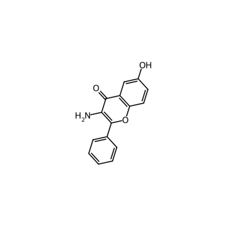 Nc1c(-c2ccccc2)oc2ccc(O)cc2c1=O